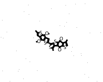 COc1c2cc(-c3sc(C)c4c5c(sc34)C(=O)c3c(C)csc3C5=O)sc2c(OC)c2cc(C)sc12